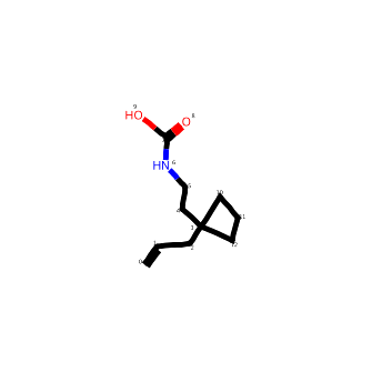 C=CCC1(CCNC(=O)O)CCC1